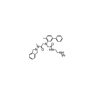 Cc1ccc(-c2ccccc2)cc1N(CC(=O)NCCNC(C)C)CC(=O)N(C)N1Cc2ccccc2C1